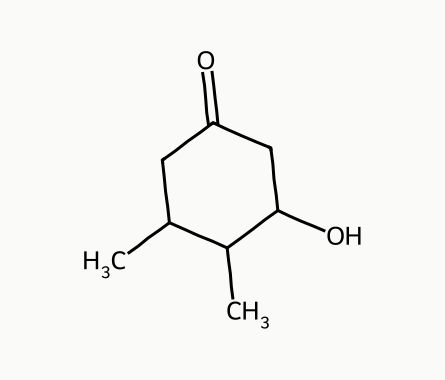 CC1CC(=O)CC(O)C1C